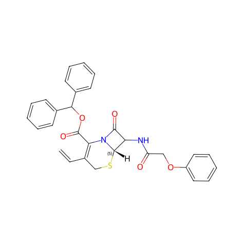 C=CC1=C(C(=O)OC(c2ccccc2)c2ccccc2)N2C(=O)C(NC(=O)COc3ccccc3)[C@@H]2SC1